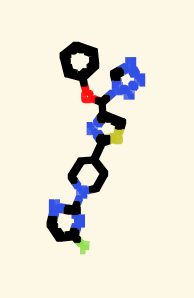 Fc1ccnc(N2CCC(c3nc(C(Oc4ccccc4)n4cnnn4)cs3)CC2)n1